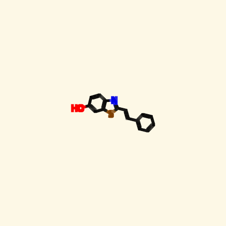 Oc1ccc2nc(C=Cc3ccccc3)sc2c1